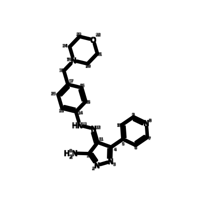 NC1=NN=C(c2ccncc2)C1=NNc1ccc(CN2CCOCC2)cc1